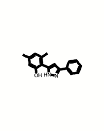 Cc1cc(C)c(-c2cc(-c3ccccc3)n[nH]2)c(O)c1